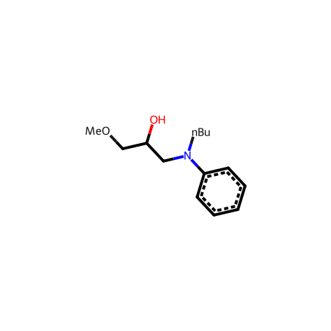 CCCCN(CC(O)COC)c1ccccc1